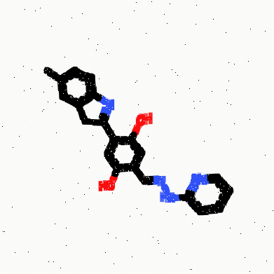 Cc1ccc2c(c1)CC(c1cc(O)c(C=NNc3ccccn3)cc1O)=N2